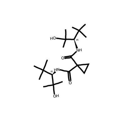 CC(C)(C)[C@@H](NC(=O)C1(C(=O)N[C@H](C(C)(C)C)C(C)(C)O)CC1)C(C)(C)O